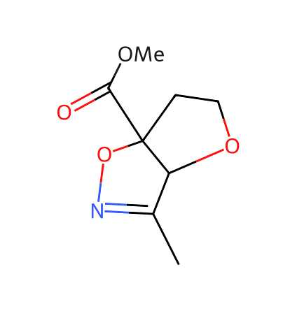 COC(=O)C12CCOC1C(C)=NO2